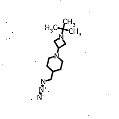 CC(C)(C)N1CC(N2CCC(CN=[N+]=[N-])CC2)C1